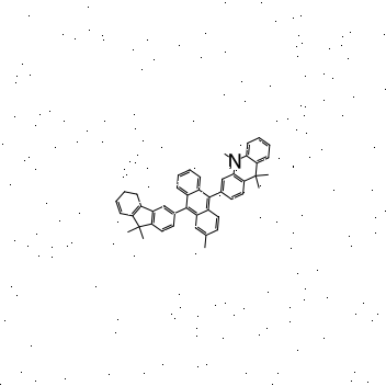 Cc1ccc2c(-c3ccc4c(c3)N(C)c3ccccc3C4(C)C)c3ccccc3c(-c3ccc4c(c3)C3=C(C=CCC3)C4(C)C)c2c1